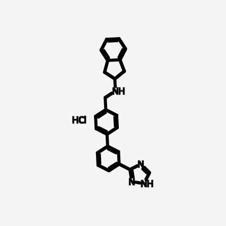 Cl.c1cc(-c2ccc(CNC3Cc4ccccc4C3)cc2)cc(-c2nc[nH]n2)c1